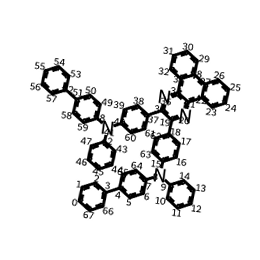 c1ccc(-c2ccc(N(c3ccccc3)c3ccc(-c4nc5c6ccccc6c6ccccc6c5nc4-c4ccc(N(c5ccccc5)c5ccc(-c6ccccc6)cc5)cc4)cc3)cc2)cc1